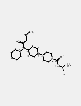 COCC(=O)N(C1CCCCC1)C1CCN(C2CCN(C(=O)OC(C)C)CC2)CC1